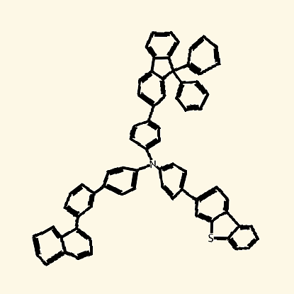 c1ccc(C2(c3ccccc3)c3ccccc3-c3ccc(-c4ccc(N(c5ccc(-c6cccc(-c7cccc8ccccc78)c6)cc5)c5ccc(-c6ccc7c(c6)sc6ccccc67)cc5)cc4)cc32)cc1